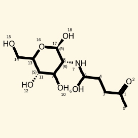 CC(=O)CCC(O)N[C@@H]1C(O)[C@H](O)C(CO)O[C@H]1O